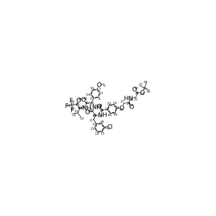 COc1ccc([C@H](NC(=O)[C@H](Cc2cccc(Cl)c2)NC(=O)c2ccc(OCC(=O)NCC(=O)OC(C)(C)C)cc2)C(=O)N[C@H](C(=O)C(F)(F)F)C(C)C)cc1